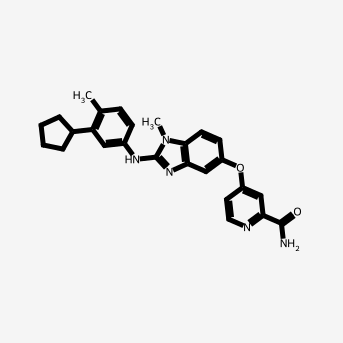 Cc1ccc(Nc2nc3cc(Oc4ccnc(C(N)=O)c4)ccc3n2C)cc1C1CCCC1